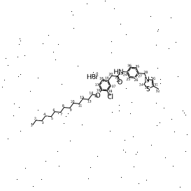 Br.CCCCCCCCCCCCCCOc1ccc(CC(=O)Nc2ccc(CN3C=C(C)SC3)cc2)cc1Cl